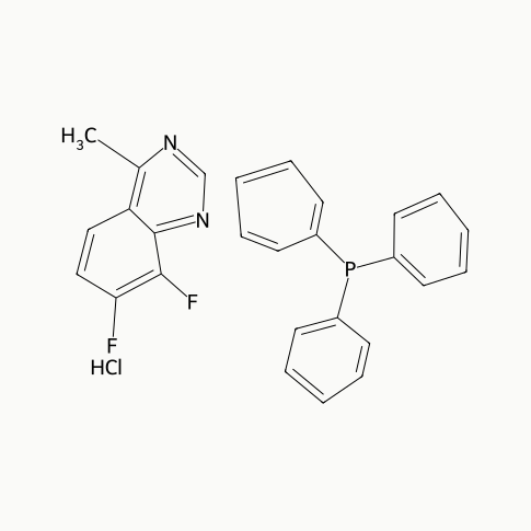 Cc1ncnc2c(F)c(F)ccc12.Cl.c1ccc(P(c2ccccc2)c2ccccc2)cc1